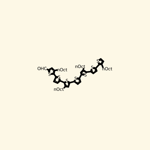 CCCCCCCCc1ccsc1-c1ccc(-c2sc(-c3ccc(-c4cc(CCCCCCCC)c(-c5ccc(-c6sc(C=O)cc6CCCCCCCC)s5)s4)s3)cc2CCCCCCCC)s1